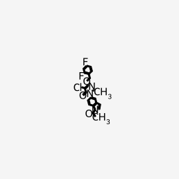 CC(=O)n1ccc2cc(-n3c(C)nc(OCc4ccc(F)cc4F)c(Cl)c3=O)ccc21